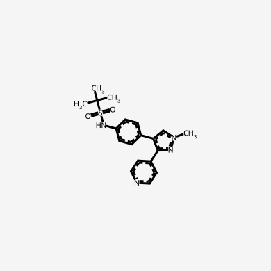 Cn1cc(-c2ccc(NS(=O)(=O)C(C)(C)C)cc2)c(-c2ccncc2)n1